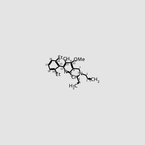 C=CCN(CC=C)Cc1c(C)nc(-c2c(CC)cccc2CC)c(C)c1OC